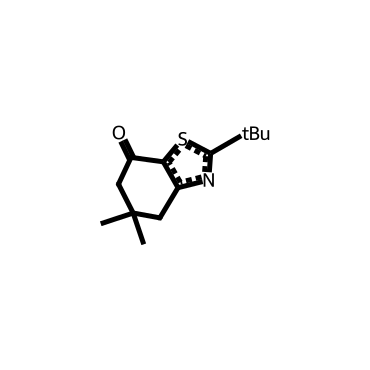 CC1(C)CC(=O)c2sc(C(C)(C)C)nc2C1